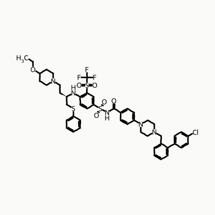 CCOC1CCN(CC[C@H](CSc2ccccc2)Nc2ccc(S(=O)(=O)NC(=O)c3ccc(N4CCN(Cc5ccccc5-c5ccc(Cl)cc5)CC4)cc3)cc2S(=O)(=O)C(F)(F)F)CC1